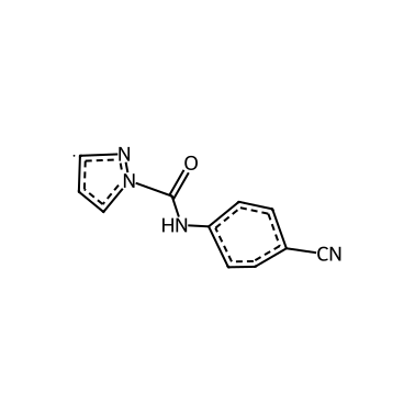 N#Cc1ccc(NC(=O)n2cc[c]n2)cc1